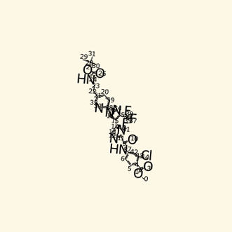 COC(=O)c1ccc(NC(=O)c2ncc(-c3cn(-c4ccc(CCNC(=O)OC(C)(C)C)cn4)nc3C(F)(F)F)n2C)cc1Cl